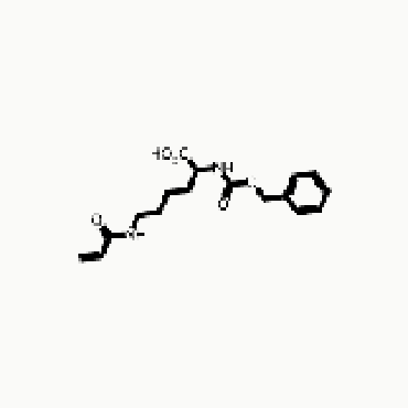 C=CC(=O)NCCCCC(NC(=O)OCc1ccccc1)C(=O)O